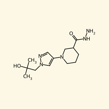 CC(C)(O)Cn1cc(N2CCCC(C(=O)NN)C2)cn1